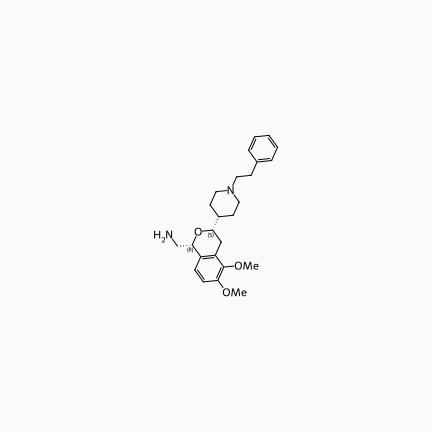 COc1ccc2c(c1OC)C[C@@H](C1CCN(CCc3ccccc3)CC1)O[C@H]2CN